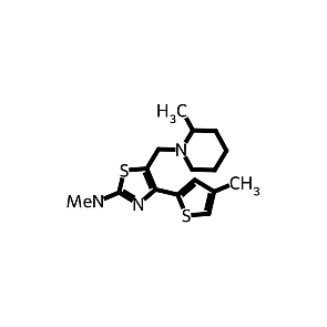 CNc1nc(-c2cc(C)cs2)c(CN2CCCCC2C)s1